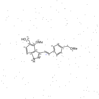 COCc1ccc(/C=C/c2n[nH]c3ccc(C(=O)O)c(OC)c23)cc1